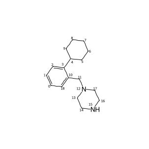 c1ccc(C2CCCCC2)c(CN2CCNCC2)c1